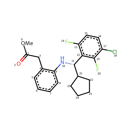 COC(=O)Cc1ccccc1N[C@H](c1c(F)ccc(Cl)c1F)C1CCCC1